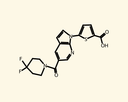 O=C(O)c1ccc(-n2ccc3cc(C(=O)N4CCC(F)(F)CC4)cnc32)s1